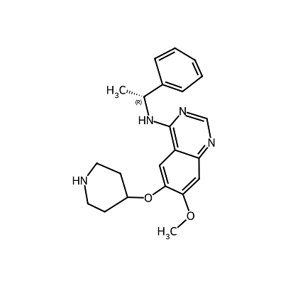 COc1cc2ncnc(N[C@H](C)c3ccccc3)c2cc1OC1CCNCC1